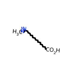 Cn1cc(CCCCCCCCCCCCCCCCC(=O)O)nn1